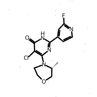 C[C@@H]1COCCN1c1nc(-c2ccnc(F)c2)[nH]c(=O)c1Cl